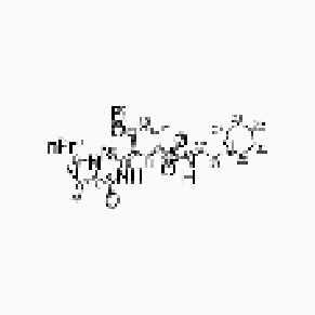 CCCc1nc(C)c2c(=O)[nH]c(-c3cc(S(=O)(=O)NCCN4CCCCC4)ccc3OCC)nn12